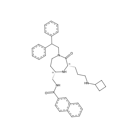 O=C(NC[C@@H]1CCN(CC(c2ccccc2)c2ccccc2)C(=O)[C@H](CCCNC2CCC2)N1)c1ccc2ccccc2c1